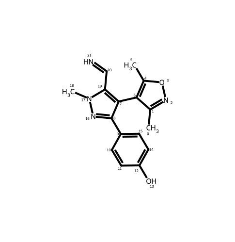 Cc1noc(C)c1-c1c(-c2ccc(O)cc2)nn(C)c1C=N